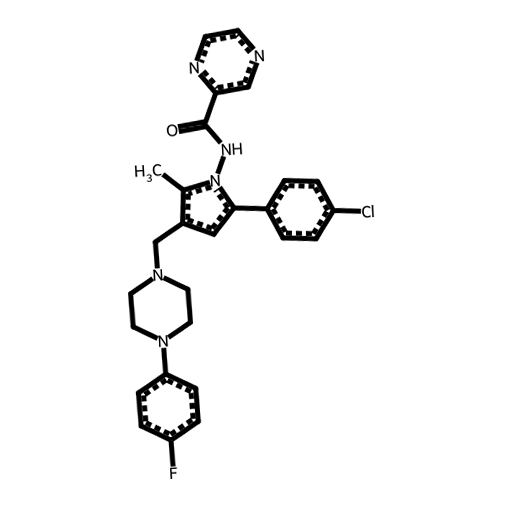 Cc1c(CN2CCN(c3ccc(F)cc3)CC2)cc(-c2ccc(Cl)cc2)n1NC(=O)c1cnccn1